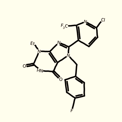 CCn1c(=O)[nH]c(=O)c2c1nc(-c1ccc(Cl)nc1C(F)(F)F)n2Cc1ccc(F)cc1